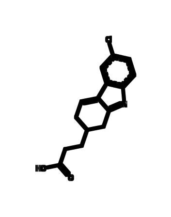 O=C(O)CCC1CC=C2C(=Nc3ccc(Cl)cc32)C1